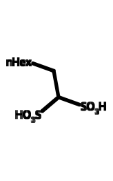 CCCCCCCC(S(=O)(=O)O)S(=O)(=O)O